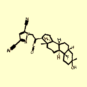 C[C@@]1(O)CC[C@@]2(F)[C@H](CC[C@H]3[C@@H]4CC[C@H](C(=C=O)Cn5nc(C#N)cc5C#N)[C@@]4(C)CC[C@@H]32)C1